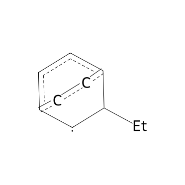 [CH2]CC1[CH]c2ccc1cc2